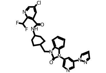 O=C(NC1CCC(Cn2c(=O)n(-c3cncc(-n4cccn4)c3)c3ccccc32)CC1)c1cc(Cl)cnc1C(F)F